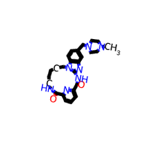 CN1CCN(Cc2ccc3c(c2)nc2n3CCCCCNC(=O)c3cccc(n3)C(=O)N2)CC1